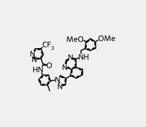 COc1ccc(CNc2ncnc3c(-c4cnn(-c5cc(NC(=O)c6cc(C(F)(F)F)cnn6)ccc5C)c4)cccc23)c(OC)c1